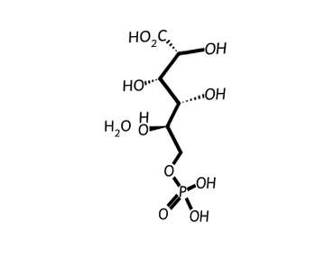 O.O=C(O)[C@H](O)[C@@H](O)[C@H](O)[C@H](O)COP(=O)(O)O